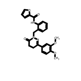 COc1ccc(C2=NN(Cc3ccccc3NC(=O)c3ccco3)C(=O)CC2)cc1OC